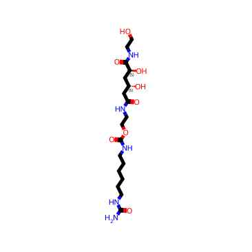 NC(=O)NCCCCCCNC(=O)OCCNC(=O)C[C@@H](O)C[C@H](O)C(=O)NCCO